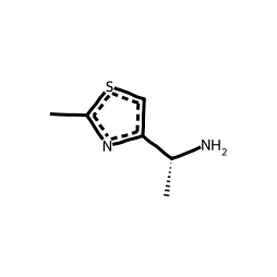 Cc1nc([C@@H](C)N)cs1